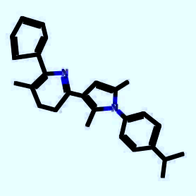 CC1=C(c2ccccc2)N=C(c2cc(C)n(-c3ccc(C(C)C)cc3)c2C)CC1